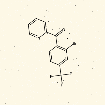 O=C(c1ccccn1)c1ccc(C(F)(F)F)cc1Br